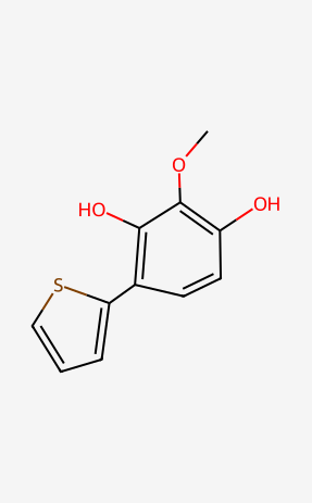 COc1c(O)ccc(-c2cccs2)c1O